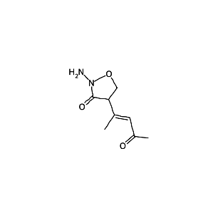 CC(=O)C=C(C)C1CON(N)C1=O